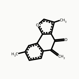 C=C1C(=O)c2c(C)coc2-c2cc(C)ccc21